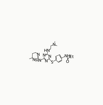 CCC(=O)Nc1ccc(Sc2nc(NCCN(C)C)nc(NC3=NCCC(C)=N3)n2)cc1